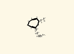 C1=CCCC=CCC1.[F-].[F-].[F-].[F-].[Rh+4]